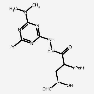 CCCCCC(CN(O)C=O)C(=O)NNc1nc(C(C)C)nc(N(C)C)n1